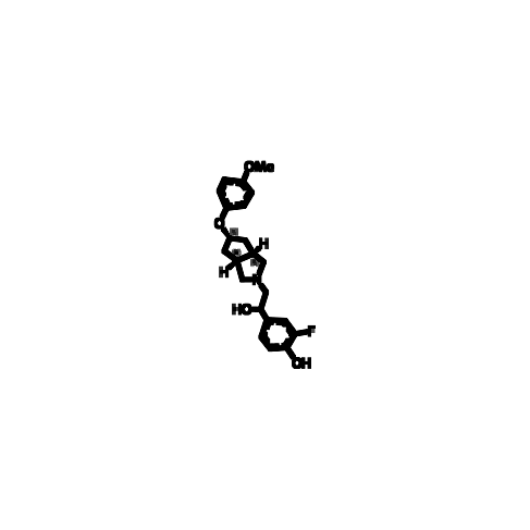 COc1ccc(O[C@H]2C[C@@H]3CN(CC(O)c4ccc(O)c(F)c4)C[C@@H]3C2)cc1